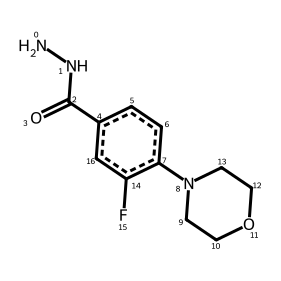 NNC(=O)c1ccc(N2CCOCC2)c(F)c1